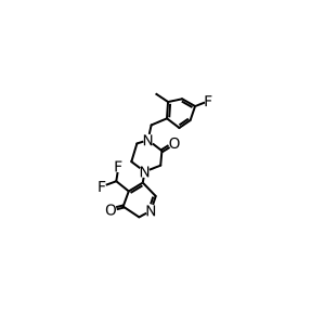 Cc1cc(F)ccc1CN1CCN(C2=C(C(F)F)C(=O)CN=C2)CC1=O